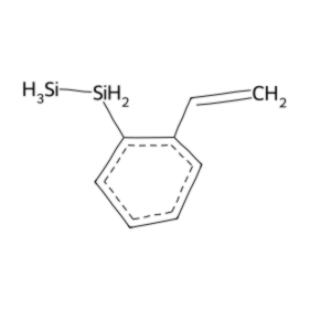 C=Cc1ccccc1[SiH2][SiH3]